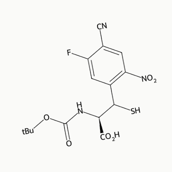 CC(C)(C)OC(=O)N[C@H](C(=O)O)C(S)c1cc(F)c(C#N)cc1[N+](=O)[O-]